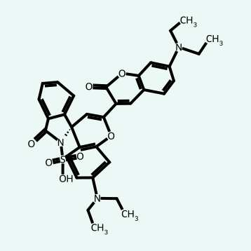 CCN(CC)c1ccc2c(c1)OC(c1cc3ccc(N(CC)CC)cc3oc1=O)=C[C@]21c2ccccc2C(=O)N1S(=O)(=O)O